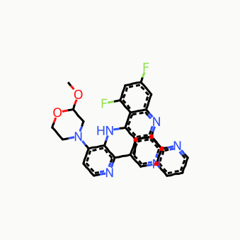 COC1CN(c2ccnc(-c3cccnc3)c2Nc2c(C)c(-c3ccccn3)nc3cc(F)cc(F)c23)CCO1